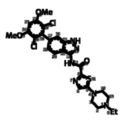 CCN1CCN(c2cnc(C(=O)Nc3n[nH]c4cc(-c5c(Cl)c(OC)cc(OC)c5Cl)ccc34)s2)CC1